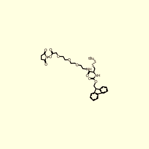 CC(C)(C)SSCC(NC(=O)OCC1c2ccccc2-c2ccccc21)C(=O)NCCOCCOCCOCC(=O)ON1C(=O)CCC1=O